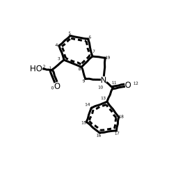 O=C(O)c1cccc2c1CN(C(=O)c1ccccc1)C2